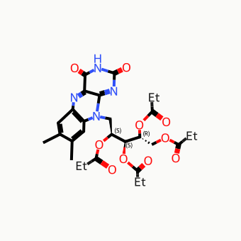 CCC(=O)OC[C@@H](OC(=O)CC)[C@@H](OC(=O)CC)[C@H](Cn1c2nc(=O)[nH]c(=O)c-2nc2cc(C)c(C)cc21)OC(=O)CC